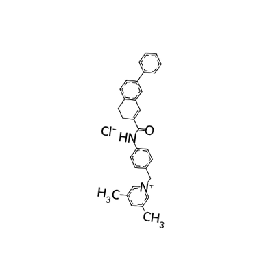 Cc1cc(C)c[n+](Cc2ccc(NC(=O)C3=Cc4cc(-c5ccccc5)ccc4CC3)cc2)c1.[Cl-]